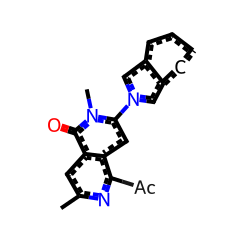 CC(=O)c1nc(C)cc2c(=O)n(C)c(-n3cc4ccccc4c3)cc12